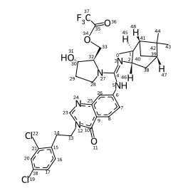 C[C@@H]1[C@@H](N=C(Nc2ccc3c(=O)n(CCc4ccc(Cl)cc4Cl)cnc3c2)N2CC[C@H](O)[C@H]2COC(=O)C(F)(F)F)C[C@@H]2C[C@H]1C2(C)C